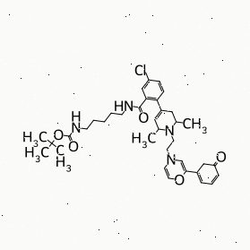 CC1C=C(c2ccc(Cl)cc2C(=O)NCCCCCNC(=O)OC(C)(C)C)CC(C)N1CCN1C=COC(C2=CC=CC(=O)C2)=C1